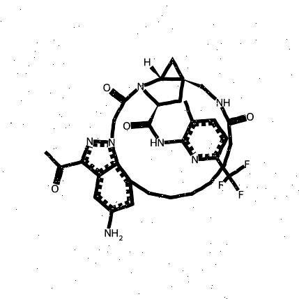 CC(=O)c1nn2c3c(cc(N)cc13)CCCCCCC(=O)NC[C@@]13C[C@@H](C(=O)Nc4nc(C(F)(F)F)ccc4C)N(C(=O)C2)[C@@H]1C3